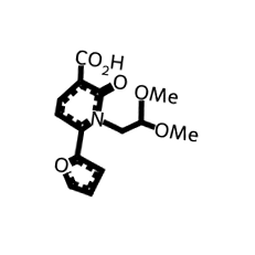 COC(Cn1c(-c2ccco2)ccc(C(=O)O)c1=O)OC